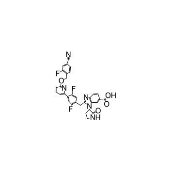 N#Cc1ccc(COc2cccc(-c3cc(F)c(Cc4nc5ccc(C(=O)O)cc5n4C4CCNC4=O)cc3F)n2)c(F)c1